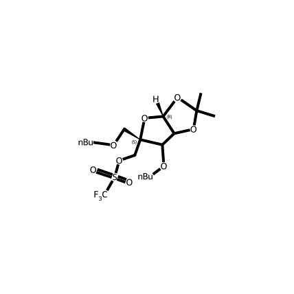 CCCCOC[C@@]1(COS(=O)(=O)C(F)(F)F)O[C@@H]2OC(C)(C)OC2C1OCCCC